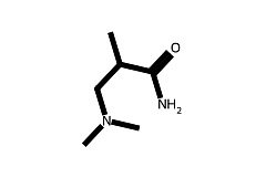 CC(CN(C)C)C(N)=O